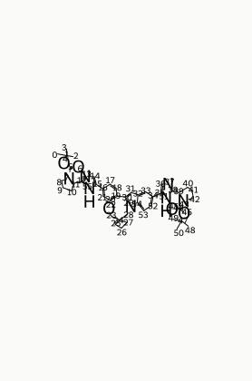 CC(C)(C)OC(=O)N1CCCC1c1ncc(-c2ccc3c(c2)OCC2(CCC2)Cn2c-3cc3cc(-c4cnc([C@H]5CCCN5C(=O)OC(C)(C)C)[nH]4)ccc32)[nH]1